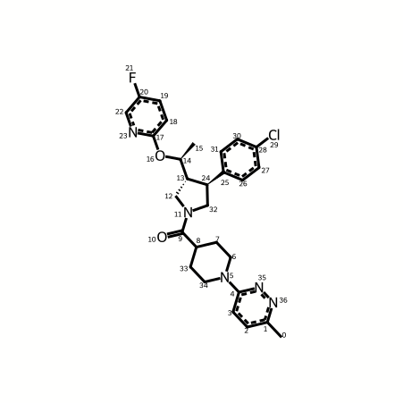 Cc1ccc(N2CCC(C(=O)N3C[C@H]([C@H](C)Oc4ccc(F)cn4)[C@@H](c4ccc(Cl)cc4)C3)CC2)nn1